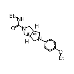 CCNC(=O)N1C[C@@H]2CN(c3ccc(OCC)cc3)C[C@@H]2C1